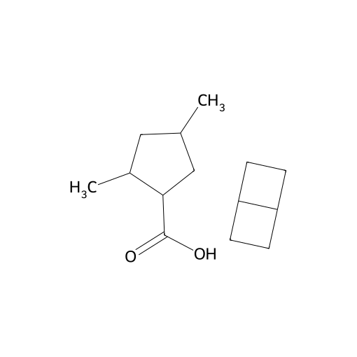 C1CC2CCC12.CC1CC(C)C(C(=O)O)C1